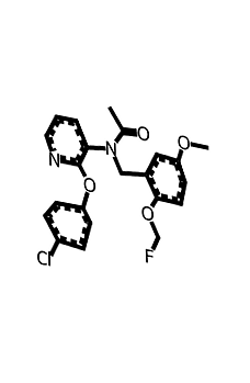 COc1ccc(OCF)c(CN(C(C)=O)c2cccnc2Oc2ccc(Cl)cc2)c1